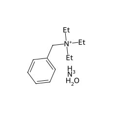 CC[N+](CC)(CC)Cc1ccccc1.N.O